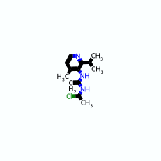 C=C(Nc1c(C)ccnc1C(C)C)NC(C)Cl